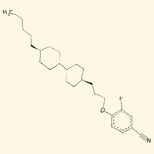 CCCCC[C@H]1CC[C@H]([C@H]2CC[C@H](CCCOc3ccc(C#N)cc3F)CC2)CC1